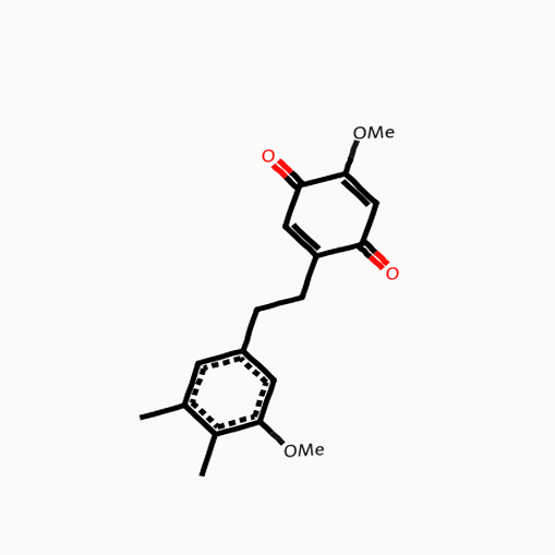 COC1=CC(=O)C(CCc2cc(C)c(C)c(OC)c2)=CC1=O